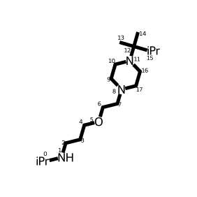 CC(C)NCCCOCCN1CCN(C(C)(C)C(C)C)CC1